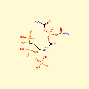 NC(=O)OP(=O)(OC(N)=O)OC(N)=O.NCCC(O)(P(=O)(O)O)P(=O)(O)O.O=P(O)(O)O